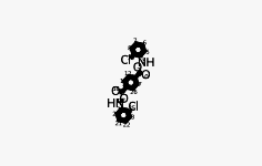 O=C(ONc1ccccc1Cl)c1ccc(C(=O)ONc2ccccc2Cl)cc1